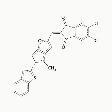 Cn1c(-c2cc3ccccc3s2)cc2oc(C=C3C(=O)c4cc(Cl)c(Cl)cc4C3=O)cc21